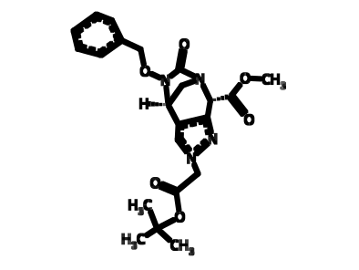 COC(=O)[C@@H]1c2nn(CC(=O)OC(C)(C)C)cc2[C@@H]2CN1C(=O)N2OCc1ccccc1